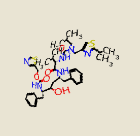 CC(C)CN(Cc1csc(C(C)C)n1)C(=O)N[C@H](C(=O)N[C@@H](Cc1ccccc1)CC(O)[C@H](Cc1ccccc1)NC(=O)OCc1cncs1)C(C)C